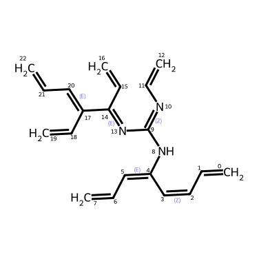 C=C/C=C\C(=C/C=C)NC(=N/C=C)/N=C(C=C)/C(C=C)=C/C=C